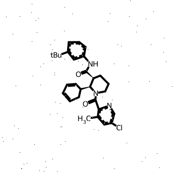 Cc1cc(Cl)cnc1C(=O)N1CCC[C@H](C(=O)Nc2cccc(C(C)(C)C)c2)[C@@H]1C1C=CC=CC1